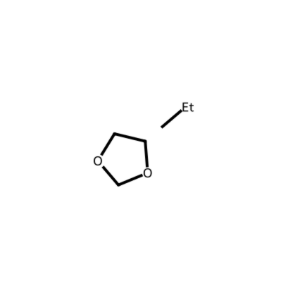 C1COCO1.CCC